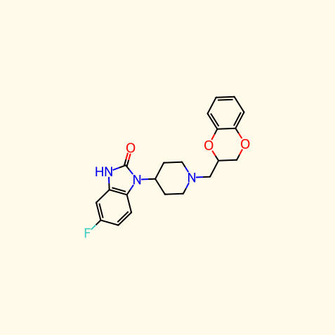 O=c1[nH]c2cc(F)ccc2n1C1CCN(CC2COc3ccccc3O2)CC1